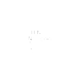 C=CC[N+]12CCC(CC1)CC2.NC(=O)[O-]